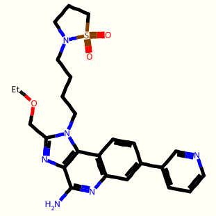 CCOCc1nc2c(N)nc3cc(-c4cccnc4)ccc3c2n1CCCCN1CCCS1(=O)=O